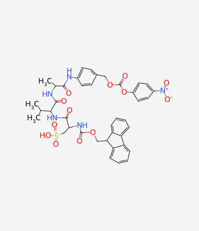 CC(NC(=O)C(NC(=O)C(CS(=O)(=O)O)NC(=O)OCC1c2ccccc2-c2ccccc21)C(C)C)C(=O)Nc1ccc(COC(=O)Oc2ccc([N+](=O)[O-])cc2)cc1